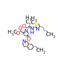 C=CCCc1csc(N[C@H](C(=O)N2C[C@H](Oc3nccc4ccc(C=C)cc34)C[C@H]2C(=O)OC)C(C)C)n1